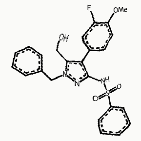 COc1ccc(-c2c(NS(=O)(=O)c3ccccc3)nn(Cc3ccccc3)c2CO)cc1F